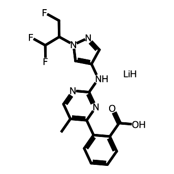 Cc1cnc(Nc2cnn(C(CF)C(F)F)c2)nc1-c1ccccc1C(=O)O.[LiH]